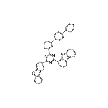 c1ccc(-c2ccc(-c3cccc(-c4nc(-c5ccc6oc7ccccc7c6c5)nc(-c5cccc6c5sc5ccccc56)n4)c3)cc2)cc1